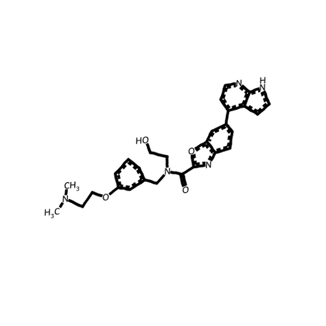 CN(C)CCOc1cccc(CN(CCO)C(=O)c2nc3ccc(-c4ccnc5[nH]ccc45)cc3o2)c1